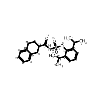 CC(C)c1cccc(C(C)C)c1OS(=O)(=O)NC(=O)C1CCc2ccccc2C1